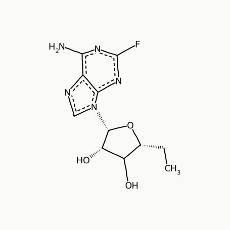 CC[C@H]1O[C@@H](n2cnc3c(N)nc(F)nc32)[C@@H](O)C1O